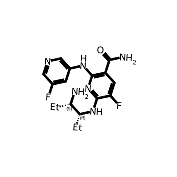 CC[C@H](N)[C@@H](CC)Nc1nc(Nc2cncc(F)c2)c(C(N)=O)cc1F